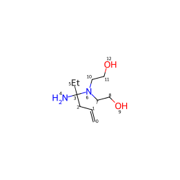 C=CCC(N)(CC)N(CCO)CCO